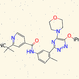 Cc1ccc(NC(=O)c2ccnc(C(C)(C)C#N)c2)cc1-c1nnc(OC(C)C)c(N2CCOCC2)n1